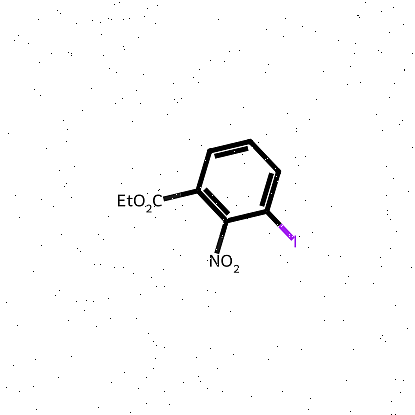 CCOC(=O)c1cccc(I)c1[N+](=O)[O-]